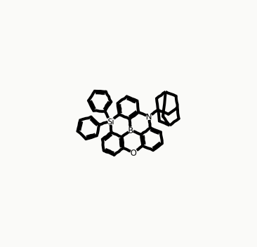 c1ccc([Si]2(c3ccccc3)c3cccc4c3B3c5c(cccc5N(C56CC7CC(CC(C7)C5)C6)c5cccc2c53)O4)cc1